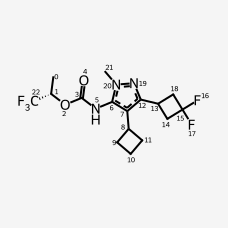 C[C@H](OC(=O)Nc1c(C2CCC2)c(C2CC(F)(F)C2)nn1C)C(F)(F)F